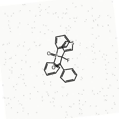 O=C(c1ccccc1)C(F)(c1ccsc1)P(=O)(c1ccccc1)c1ccccc1